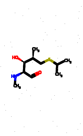 CN[C@H](C=O)[C@H](O)[C@H](C)CSC(C)C